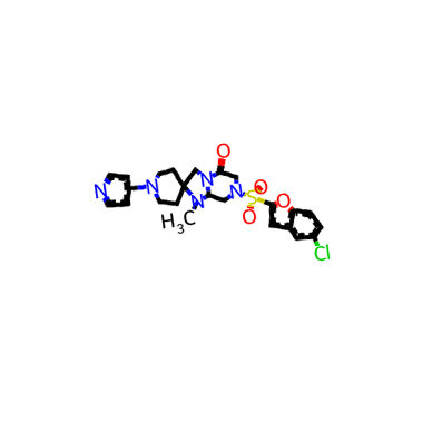 CN1C2CN(S(=O)(=O)c3cc4cc(Cl)ccc4o3)CC(=O)N2CC12CCN(c1ccncc1)CC2